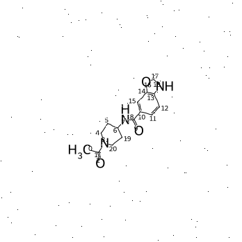 CC(=O)N1CCC(NC(=O)c2ccc3c(c2)OCN3)CC1